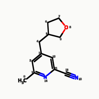 Cc1cc(CC2CCOC2)cc(C#N)n1